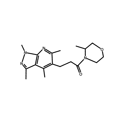 Cc1nc2c(c(C)nn2C)c(C)c1CCC(=O)N1CCOCC1C